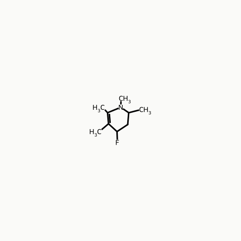 CC1=C(C)N(C)C(C)CC1F